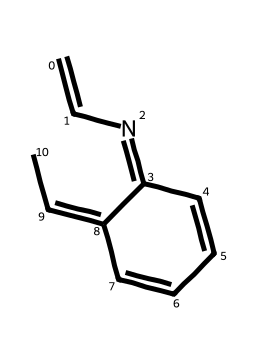 C=C/N=C1/C=CC=C/C1=C/C